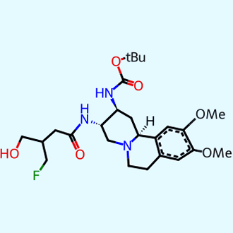 COc1cc2c(cc1OC)[C@@H]1C[C@H](NC(=O)OC(C)(C)C)[C@@H](NC(=O)CC(CO)CF)CN1CC2